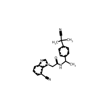 CC(NC(=O)Cn1cnc2cccc(C#N)c21)c1ccc(C(C)(C)C#N)cc1